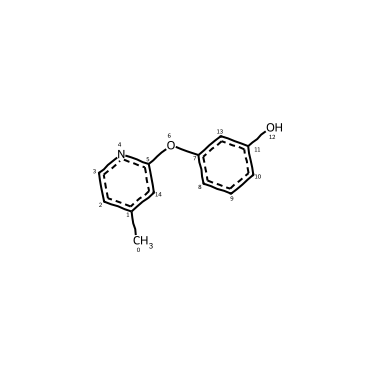 Cc1ccnc(Oc2cccc(O)c2)c1